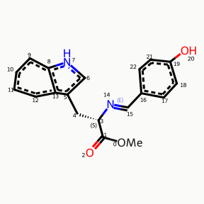 COC(=O)[C@H](Cc1c[nH]c2ccccc12)/N=C/c1ccc(O)cc1